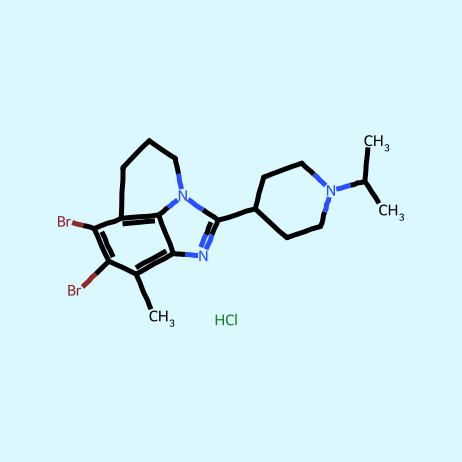 Cc1c(Br)c(Br)c2c3c1nc(C1CCN(C(C)C)CC1)n3CCC2.Cl